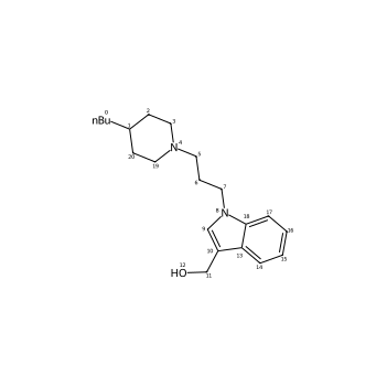 CCCCC1CCN(CCCn2cc(CO)c3ccccc32)CC1